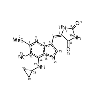 CSc1nc2c(C=C3NC(=O)NC3=O)cnn2c(NC2CC2)c1C#N